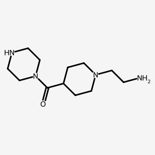 NCCN1CCC(C(=O)N2CCNCC2)CC1